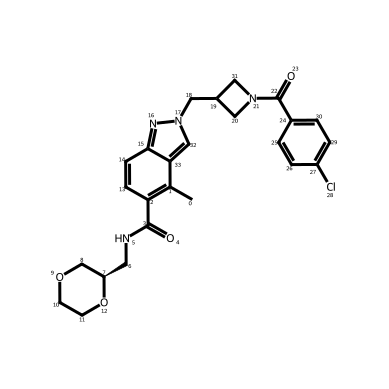 Cc1c(C(=O)NC[C@@H]2COCCO2)ccc2nn(CC3CN(C(=O)c4ccc(Cl)cc4)C3)cc12